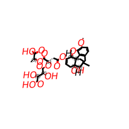 COc1ccc2c3c1O[C@H]1C(OC(=O)C[C@H](OC(=O)[C@H](O)[C@@H](O)C(=O)O)C(=O)O[C@@H](C)C(=O)O)=CC[C@@]4(O)[C@@H](C2)C(C)CC[C@]314